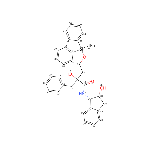 CC(C)(C)[Si](OCCC(O)(Cc1ccccc1)C(=O)N[C@H]1c2ccccc2C[C@H]1O)(c1ccccc1)c1ccccc1